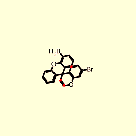 Bc1cccc2c1Oc1ccccc1C21c2ccccc2Oc2cc(Br)ccc21